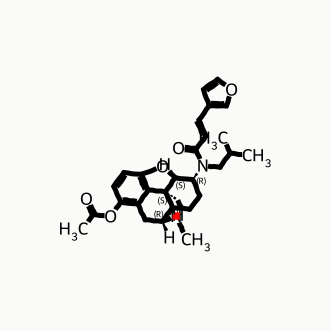 CC(=O)Oc1ccc2c3c1C[C@@H]1[C@@H]4CC[C@@H](N(CC(C)C)C(=O)C=Cc5ccoc5)[C@@H](O2)[C@]34CCN1C